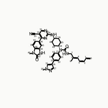 C=C/C=C\C=C(/C)CNC(=O)N(c1ccc(-c2cnn(C)c2)cc1)[C@H]1CC[C@H](Nc2ncc(C#N)c(-c3ccc4c(c3)[nH]c(=O)n4C)n2)CC1